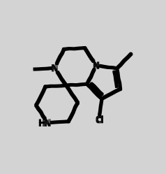 Cc1cc(Cl)c2n1CCN(C)C21CCNCC1